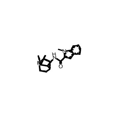 Cn1c(C(=O)NC2C3CCN(CC3)C2(C)C)cc2ccccc21